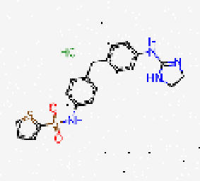 Cl.O=S(=O)(Nc1ccc(Cc2ccc(NC3=NCCN3)cc2)cc1)c1cccs1